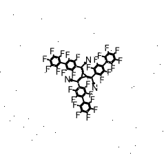 N#CC(=C1C(=C(C#N)c2c(F)c(F)c(-c3c(F)c(F)c(F)c(F)c3F)c(F)c2F)C1=C(C#N)c1c(F)c(F)c(-c2c(F)c(F)c(F)c(F)c2F)c(F)c1F)c1c(F)c(F)c(-c2c(F)c(F)c(F)c(F)c2F)c(F)c1F